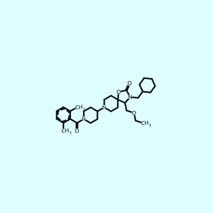 CCOCC1N(CC2CCCCC2)C(=O)OC12CCN(C1CCN(C(=O)c3c(C)cccc3C)CC1)CC2